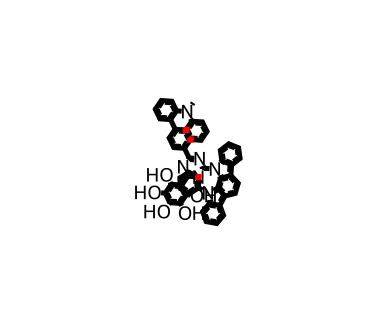 CN(c1ccccc1)c1ccccc1-c1ccc(-c2nc(-c3c(O)c(O)c(O)c(O)c3O)nc(-n3c4ccccc4c4ccc5c6ccccc6n(-c6ccccc6)c5c43)n2)cc1